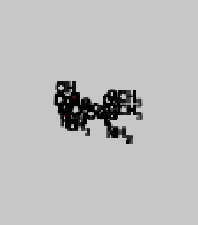 CC(=O)[C@H](C)OC(=O)[C@H](CC(=O)OC1=CC[C@@]2(O)[C@H]3Cc4ccc(O)c5c4[C@@]2(CCN3C)[C@H]1O5)OC(=O)CCN